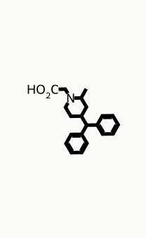 CC1CC(C(c2ccccc2)c2ccccc2)CCN1CC(=O)O